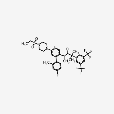 CCS(=O)(=O)N1CCN(c2cc(-c3ccc(F)cc3C)c(N(C)C(=O)C(C)(C)c3cc(C(F)(F)F)cc(C(F)(F)F)c3)cn2)CC1